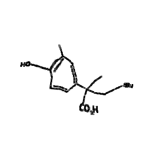 Cc1cc(C(C)(CC(C)(C)C)C(=O)O)ccc1O